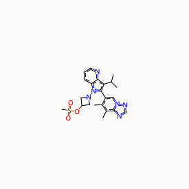 Cc1c(-c2c(C(C)C)c3ncccc3n2N2CC(OS(C)(=O)=O)C2)cn2ncnc2c1C